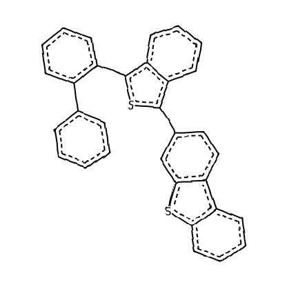 c1ccc(-c2ccccc2-c2sc(-c3ccc4c(c3)sc3ccccc34)c3ccccc23)cc1